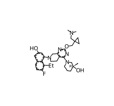 CCc1c(F)ccc2cc(O)cc(N3CCc4c(nc(OCC5(CN(C)C)CC5)nc4N4CCC[C@@](C)(O)C4)C3)c12